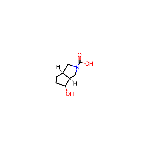 O=C(O)N1C[C@@H]2CC[C@H](O)[C@@H]2C1